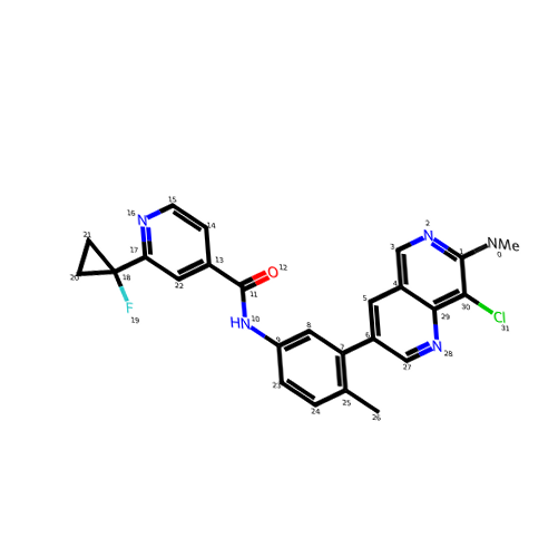 CNc1ncc2cc(-c3cc(NC(=O)c4ccnc(C5(F)CC5)c4)ccc3C)cnc2c1Cl